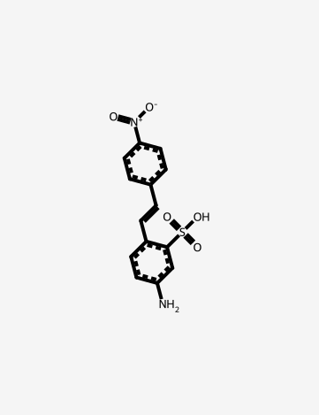 Nc1ccc(C=Cc2ccc([N+](=O)[O-])cc2)c(S(=O)(=O)O)c1